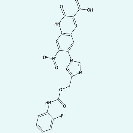 O=C(Nc1ccccc1F)OCc1cn(-c2cc3cc(C(=O)O)c(=O)[nH]c3cc2[N+](=O)[O-])cn1